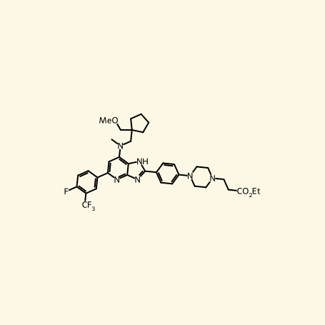 CCOC(=O)CCN1CCN(c2ccc(-c3nc4nc(-c5ccc(F)c(C(F)(F)F)c5)cc(N(C)CC5(COC)CCCC5)c4[nH]3)cc2)CC1